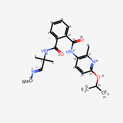 CO/N=C/C(C)(C)NC(=O)c1ccccc1C(=O)Nc1ccc(OC(C(F)(F)F)C(F)(F)F)nc1C